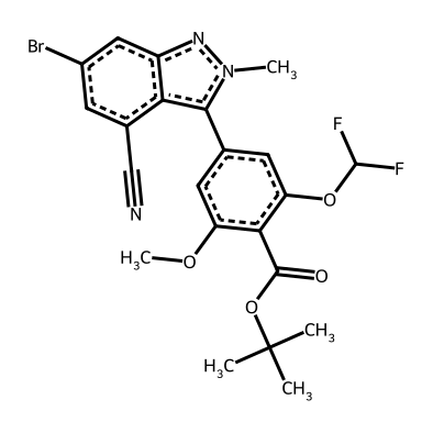 COc1cc(-c2c3c(C#N)cc(Br)cc3nn2C)cc(OC(F)F)c1C(=O)OC(C)(C)C